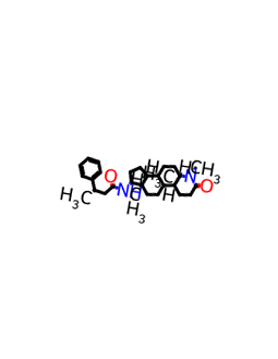 CC(CC(=O)NC1CC[C@H]2[C@@H]3CC[C@H]4N(C)C(=O)CC[C@]4(C)[C@H]3CC[C@]12C)c1ccccc1